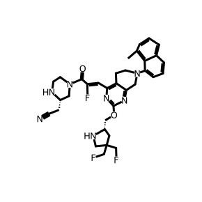 Cc1cccc2cccc(N3CCc4c(C=C(F)C(=O)N5CCN[C@@H](CC#N)C5)nc(OC[C@@H]5CC(CF)(CF)CN5)nc4C3)c12